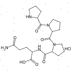 Cl.NC(=O)CCC(NC(=O)C1CCCN1C(=O)C1CCCN1C(=O)C1CCCN1)C(=O)O